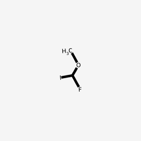 COC(F)I